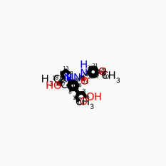 CCC(CC(=O)O)c1ccc(N2CCC[C@H]2C(C)(C)O)c(NC(=O)Nc2ccc(OC)cc2)c1